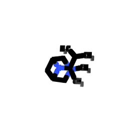 CC(C)C(C)N1C2CC1CN(C)C2